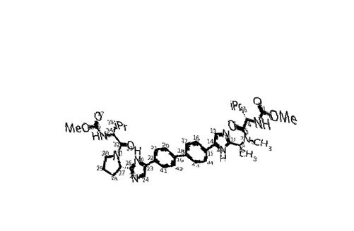 COC(=O)N[C@H](C(=O)N(C)[C@@H](C)c1ncc(-c2ccc(-c3ccc(-c4cnc([C@@H]5CCCN5C(=O)[C@@H](NC(=O)OC)C(C)C)[nH]4)cc3)cc2)[nH]1)C(C)C